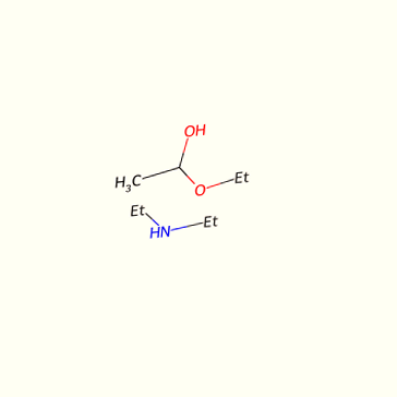 CCNCC.CCOC(C)O